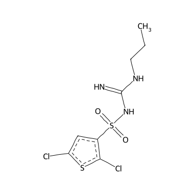 CCCNC(=N)NS(=O)(=O)c1cc(Cl)sc1Cl